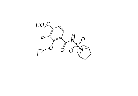 O=C(O)c1ccc(C(=O)NS(=O)(=O)N2C3CCC2CC3)c(OC2CC2)c1F